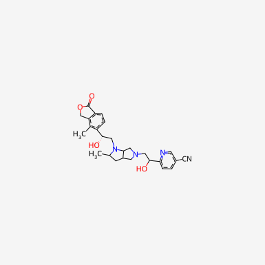 Cc1c([C@@H](O)CN2C(C)CC3CN(CC(O)c4ccc(C#N)cn4)CC32)ccc2c1COC2=O